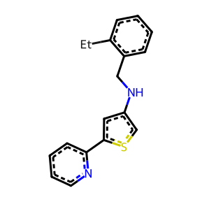 CCc1ccccc1CNc1csc(-c2ccccn2)c1